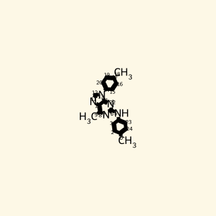 Cc1ccc(Nc2nc(C)c3ncn(-c4ccc(C)cc4)c3n2)cc1